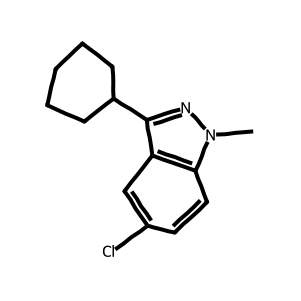 Cn1nc(C2CCCCC2)c2cc(Cl)ccc21